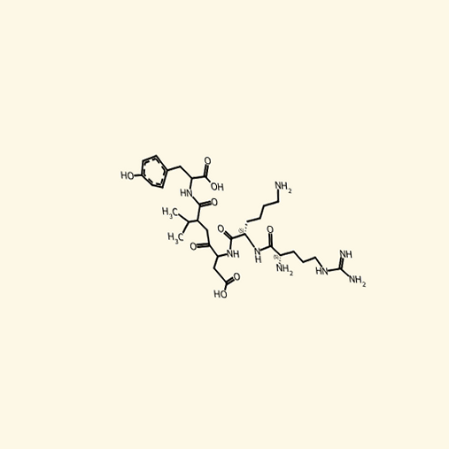 CC(C)C(CC(=O)C(CC(=O)O)NC(=O)[C@H](CCCCN)NC(=O)[C@@H](N)CCCNC(=N)N)C(=O)NC(Cc1ccc(O)cc1)C(=O)O